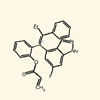 C=CC(=O)Oc1ccccc1/C(=C(\CC)c1ccccc1)c1cc(F)cc2[nH]ncc12